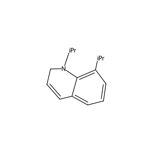 CC(C)c1cccc2c1N(C(C)C)CC=C2